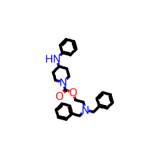 O=C(OCCN(Cc1ccccc1)Cc1ccccc1)N1CCC(Nc2ccccc2)CC1